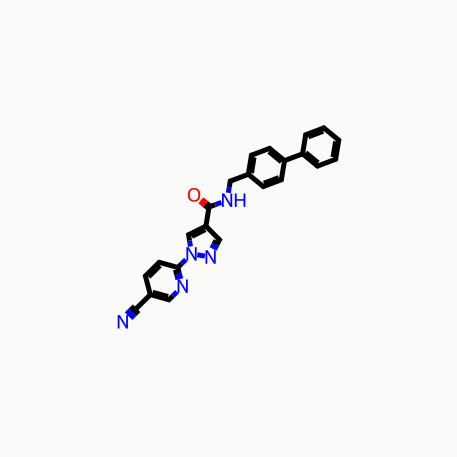 N#Cc1ccc(-n2cc(C(=O)NCc3ccc(-c4ccccc4)cc3)cn2)nc1